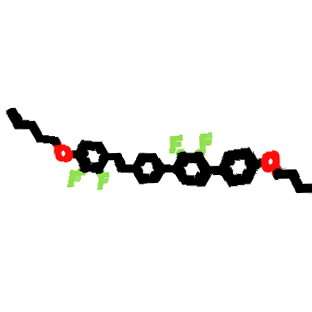 C=CCCCOc1ccc(/C=C/c2ccc(-c3ccc(-c4ccc(OCCCC)cc4)c(F)c3F)cc2)c(F)c1F